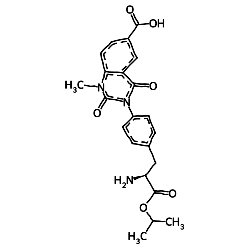 CC(C)OC(=O)[C@@H](N)Cc1ccc(-n2c(=O)c3cc(C(=O)O)ccc3n(C)c2=O)cc1